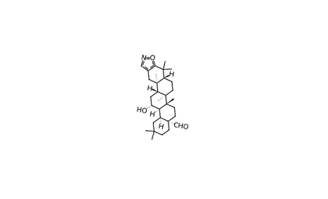 CC1(C)CC[C@]2(C=O)CC[C@]3(C)[C@H]([C@H](O)C[C@@H]4[C@@]5(C)Cc6cnoc6C(C)(C)[C@@H]5CC[C@]43C)[C@@H]2C1